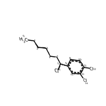 CCCCCCC(Cl)c1ccc(Cl)c(Cl)c1